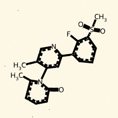 Cc1cnc(-c2cccc(S(C)(=O)=O)c2F)cc1-n1c(C)cccc1=O